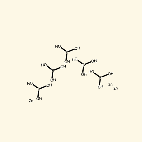 OB(O)O.OB(O)O.OB(O)O.OB(O)O.OB(O)O.[Zn].[Zn].[Zn]